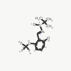 CC(C)(C)[S+]([O-])/N=C/c1c(Cl)cccc1OC(F)(F)F